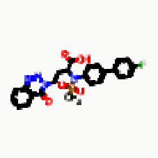 CS(=O)(=O)N(c1ccc(-c2ccc(F)cc2)cc1)C(CCn1nnc2ccccc2c1=O)C(=O)O